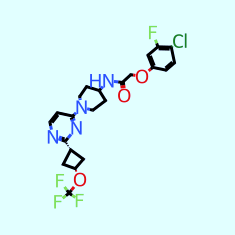 O=C(COc1ccc(Cl)c(F)c1)NC1CCN(c2ccnc([C@H]3C[C@@H](OC(F)(F)F)C3)n2)CC1